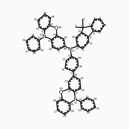 CC1(C)c2ccccc2-c2ccc(N(c3ccc(-c4ccc5c(c4)Oc4ccccc4N5c4ccccc4)cc3)c3ccc4c(c3)Oc3ccccc3N4c3ccccc3)cc21